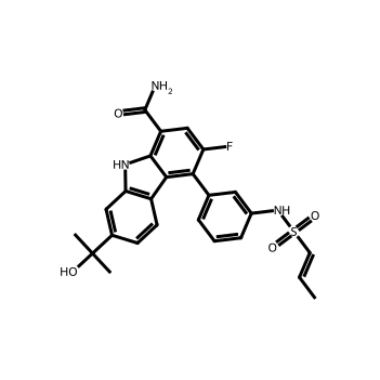 CC=CS(=O)(=O)Nc1cccc(-c2c(F)cc(C(N)=O)c3[nH]c4cc(C(C)(C)O)ccc4c23)c1